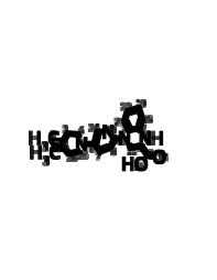 C[Si]1(C)CCN(c2ccc(N3CC(C(=O)O)Nc4ccccc43)nc2)CC1